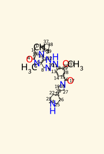 CC[C@@H]1C(=O)N(C)c2cnc(Nc3ccc(C(=O)N4CC(C5CCNCC5)C4)cc3OC)nc2N1C1CCCC1